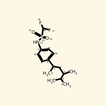 CC(CC(C)C(C)C)c1ccc(NS(=O)(=O)C(F)F)cc1